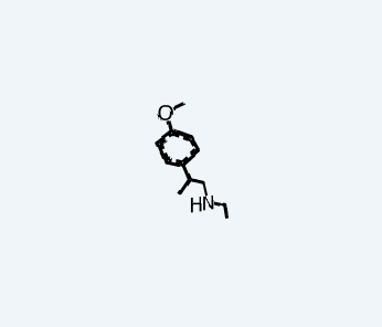 CCNCC(C)c1ccc(OC)cc1